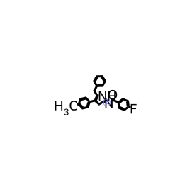 Cc1ccc(C2=C(Cc3ccccc3)N/C(=N\C(=O)c3ccc(F)cc3)C2)cc1